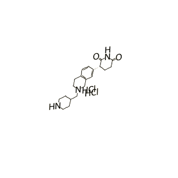 Cl.Cl.O=C1CC[C@H](c2ccc3c(c2)CN(CC2CCNCC2)CC3)C(=O)N1